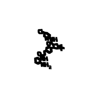 CC(C)(C)N1CC(C(=O)Nc2ccc(Cl)cn2)C(c2ccc(/C=C/C(=O)Nc3ccccc3N)cc2)C1